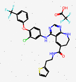 O=C(NCCc1cccs1)C1=Cc2c(ncnc2Nc2ccc(Oc3cccc(C(F)(F)F)c3)c(Cl)c2)NCC1.O=C(O)C(F)(F)F